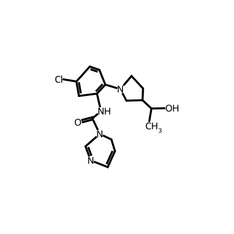 CC(O)C1CCN(c2ccc(Cl)cc2NC(=O)N2C=NC=CC2)C1